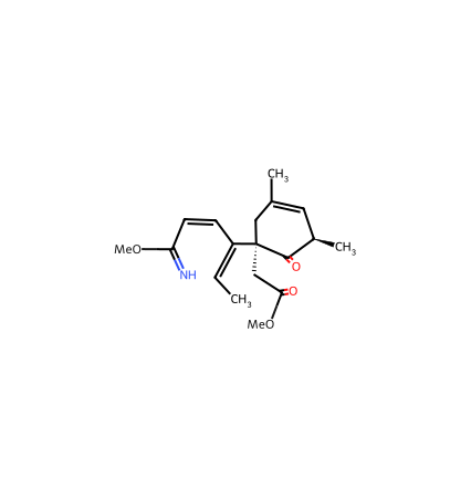 C/C=C(/C=C\C(=N)OC)[C@@]1(CC(=O)OC)CC(C)=C[C@@H](C)C1=O